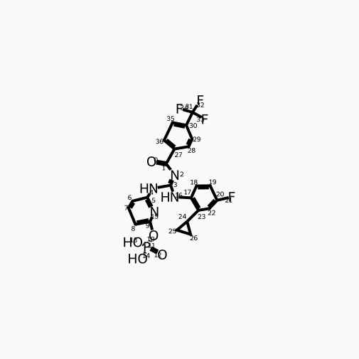 O=C(/N=C(\Nc1cccc(OP(=O)(O)O)n1)Nc1ccc(F)cc1C1CC1)c1ccc(C(F)(F)F)cc1